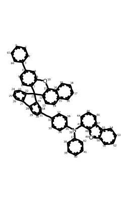 c1ccc(-c2ccc3c(c2)Oc2c(ccc4ccccc24)C32c3ccccc3-c3ccc(-c4ccc(N(c5ccccc5)c5cccc6c5oc5ccccc56)cc4)cc32)cc1